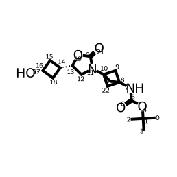 CC(C)(C)OC(=O)NC12CC(N3CC([C@H]4C[C@@H](O)C4)OC3=O)(C1)C2